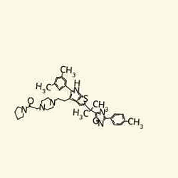 Cc1ccc(-c2noc(C(C)(C)c3cc4c(CCN5CCN(CC(=O)N6CCCC6)CC5)c(-c5cc(C)cc(C)c5)[nH]c4s3)n2)cc1